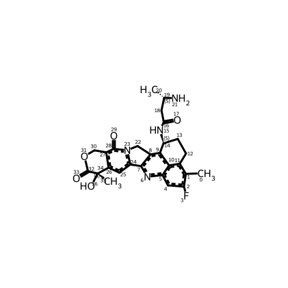 Cc1c(F)cc2nc3c(c4c2c1CC[C@@H]4NC(=O)C[C@H](C)N)Cn1c-3cc2c(c1=O)COC(=O)[C@@]2(C)O